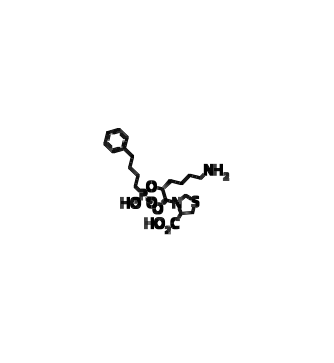 NCCCC[C@H](OP(=O)(O)CCCCc1ccccc1)C(=O)N1CSCC1C(=O)O